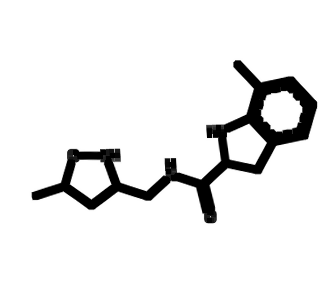 Cc1cccc2c1NC(C(=O)NCC1CC(C)ON1)C2